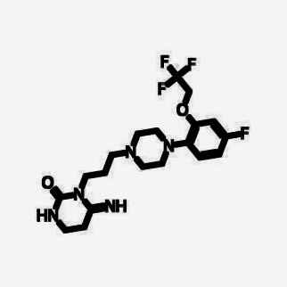 N=C1CCNC(=O)N1CCCN1CCN(c2ccc(F)cc2OCC(F)(F)F)CC1